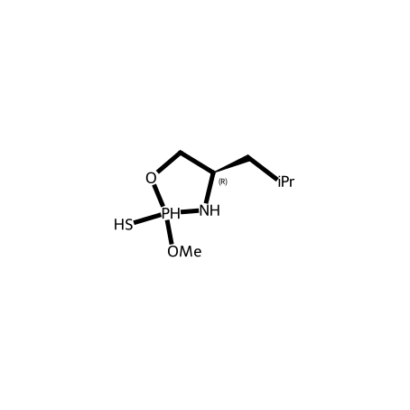 CO[PH]1(S)N[C@H](CC(C)C)CO1